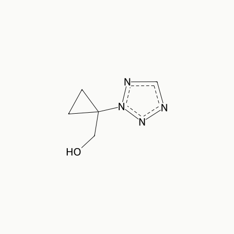 OCC1(n2ncnn2)CC1